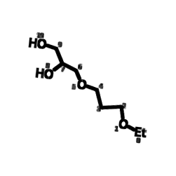 CCOCCCOCC(O)CO